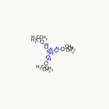 CC(C)(C)c1ccc(-c2ccc(-c3nc(-c4ccc(-c5ccc(C(C)(C)C)cc5)nc4)nc(-c4ccc(-c5ccc(C(C)(C)C)cc5)nc4)n3)cn2)cc1